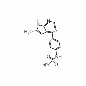 CCCS(=O)(=O)Nc1ccc(-c2ncnc3[nH]c(C)cc23)cc1